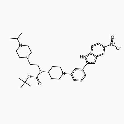 CC(C)N1CCN(CCN(C(=O)OC(C)(C)C)C2CCN(c3cccc(-c4cc5cc([N+](=O)[O-])ccc5[nH]4)c3)CC2)CC1